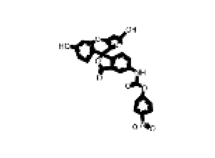 O=C(Nc1ccc2c(c1)C(=O)OC21c2ccc(O)cc2Oc2cc(O)ccc21)Oc1ccc([N+](=O)[O-])cc1